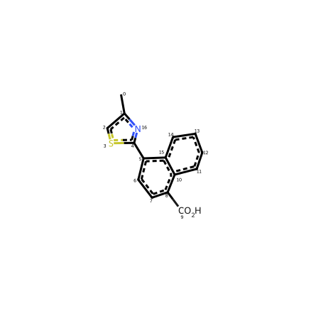 Cc1csc(-c2ccc(C(=O)O)c3ccccc23)n1